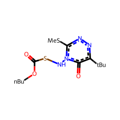 CCCCOC(=O)SNn1c(SC)nnc(C(C)(C)C)c1=O